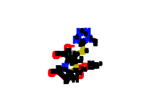 Cn1nnnc1SC[C@@]1(C)[C@H](C(=O)[O-])N2C(=O)C[C@H]2S1(=O)=O.[Na+]